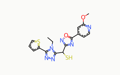 CCn1c(-c2cccs2)nnc1C(S)c1noc(-c2ccnc(OC)c2)n1